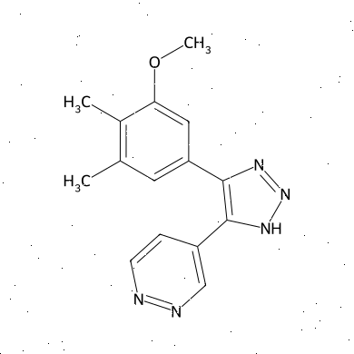 COc1cc(-c2nn[nH]c2-c2ccnnc2)cc(C)c1C